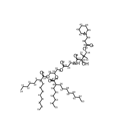 CCCCCCCCC(CCCCCC)C(=O)OCC(COC(=O)CCNC(=O)[C@H](O)C(C)(C)COC(=O)CCN1CCCCC1)OC(=O)C(CCCCCC)CCCCCCCC